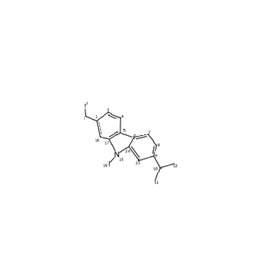 CCc1ccc2c3ccc(C(C)C)cc3n(I)c2c1